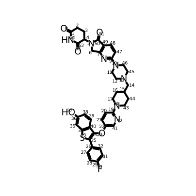 O=C1CCC(N2Cc3nc(N4CCN(CC5CCN(c6ccc(Oc7c(-c8ccc(F)cc8)sc8cc(O)ccc78)cn6)CC5)CC4)ccc3C2=O)C(=O)N1